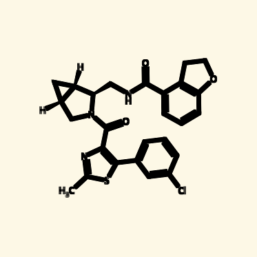 Cc1nc(C(=O)N2C[C@@H]3C[C@@H]3[C@H]2CNC(=O)c2cccc3c2CCO3)c(-c2cccc(Cl)c2)s1